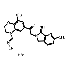 Br.Cc1ccc2c(n1)C(=N)N(CC(=O)c1cc3c(c(C(C)(C)C)c1)OCCN3C=NC#N)C2